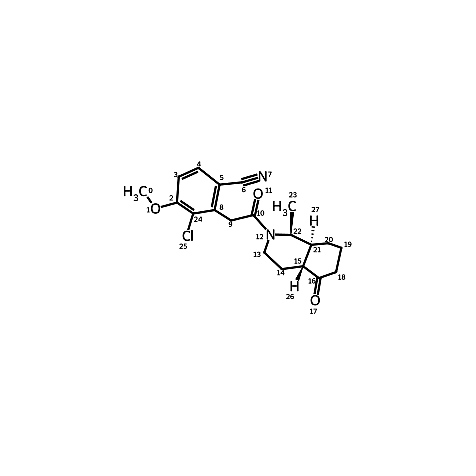 COc1ccc(C#N)c(CC(=O)N2CC[C@H]3C(=O)CCC[C@@H]3[C@@H]2C)c1Cl